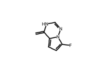 C=C1NC=Nn2c(F)ccc21